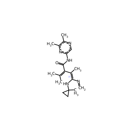 C=N/C(NC1(C)CC1)=C(\C)C(C(=O)Nc1cnc(C)c(C)n1)=C(C)C